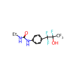 CCNC(=O)Nc1ccc(C(F)(F)C(O)(F)C(F)(F)F)cc1